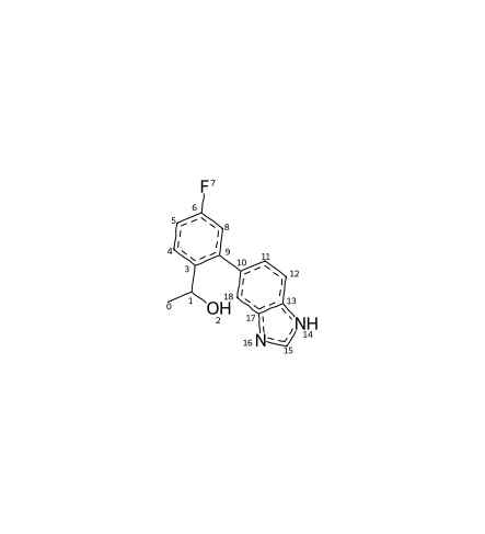 CC(O)c1ccc(F)cc1-c1ccc2[nH]cnc2c1